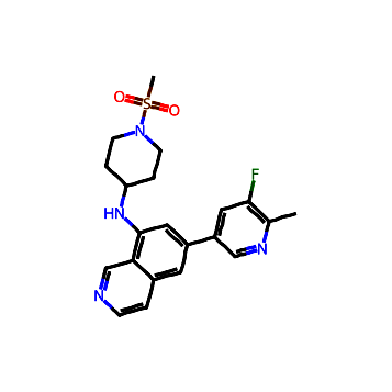 Cc1ncc(-c2cc(NC3CCN(S(C)(=O)=O)CC3)c3cnccc3c2)cc1F